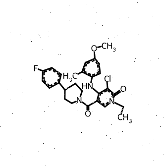 CCn1cc(C(=O)N2CCC(c3ccc(F)cc3)CC2)c(Nc2ccc(OC)cc2C)c(Cl)c1=O